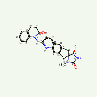 CN1C(=O)NC(=O)C12Cc1cc3ccc(CN4C(=O)CCc5ccccc54)nc3cc1C2